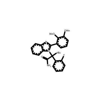 CCCCC(C(N)=O)(c1ccccc1F)n1c(-c2cccc(OC)c2OC)nc2ccccc21